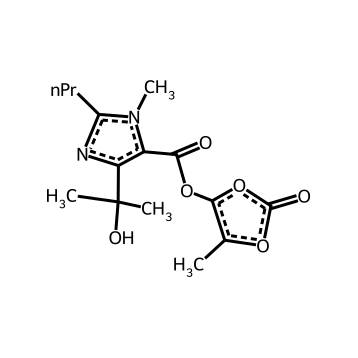 CCCc1nc(C(C)(C)O)c(C(=O)Oc2oc(=O)oc2C)n1C